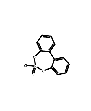 S=P1(Cl)Oc2ccccc2-c2ccccc2O1